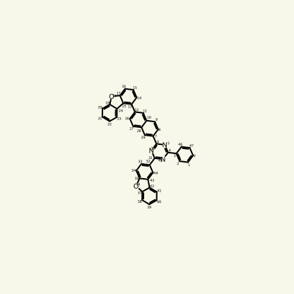 c1ccc(-c2nc(-c3ccc4cc(-c5cccc6oc7ccccc7c56)ccc4c3)nc(-c3ccc4oc5ccccc5c4c3)n2)cc1